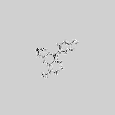 CC(=O)NCC1Cc2c(C#N)cccc2N(c2ccc(C(F)(F)F)cc2)C1